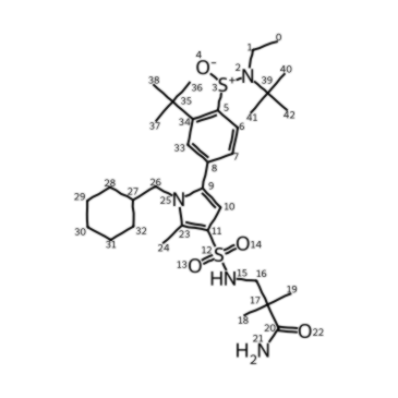 CCN([S+]([O-])c1ccc(-c2cc(S(=O)(=O)NCC(C)(C)C(N)=O)c(C)n2CC2CCCCC2)cc1C(C)(C)C)C(C)(C)C